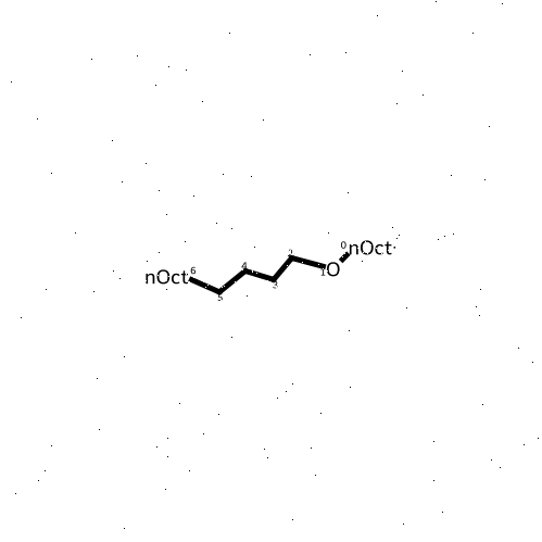 CCCCCCC[CH]OCCCCCCCCCCCC